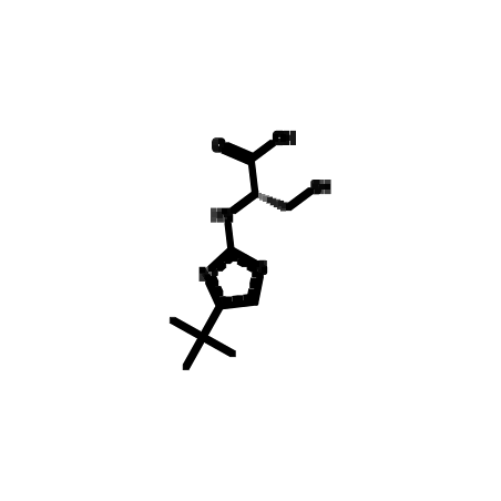 CC(C)(C)c1csc(N[C@@H](CS)C(=O)O)n1